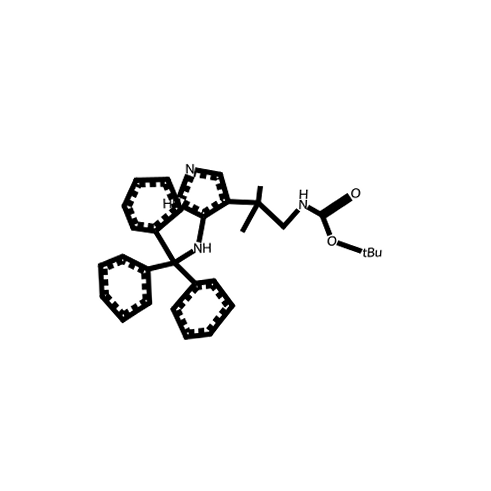 CC(C)(C)OC(=O)NCC(C)(C)c1cn[nH]c1NC(c1ccccc1)(c1ccccc1)c1ccccc1